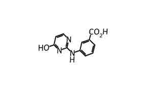 O=C(O)c1cccc(Nc2nccc(O)n2)c1